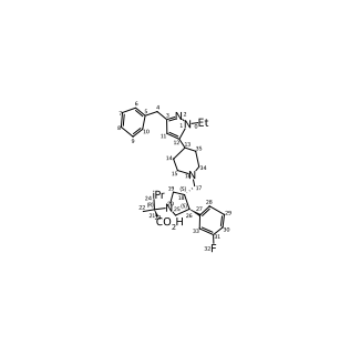 CCn1nc(Cc2ccccc2)cc1C1CCN(C[C@H]2CN([C@@](C)(C(=O)O)C(C)C)C[C@@H]2c2cccc(F)c2)CC1